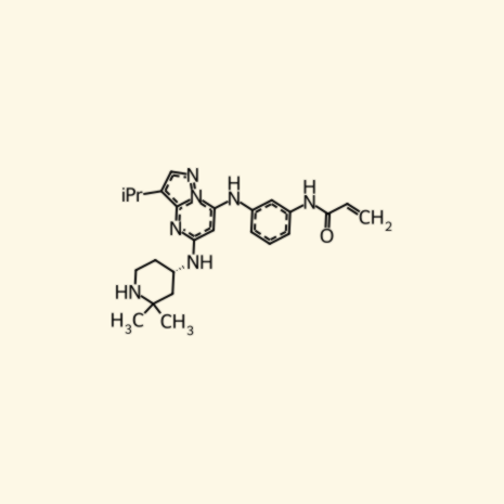 C=CC(=O)Nc1cccc(Nc2cc(N[C@H]3CCNC(C)(C)C3)nc3c(C(C)C)cnn23)c1